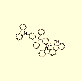 CC1(C)c2ccccc2-c2ccc3c4ccccc4n(-c4cccc([Si](c5ccccc5)(c5ccccc5)c5ccc(-n6c7ccccc7c7ccccc76)cc5)c4)c3c21